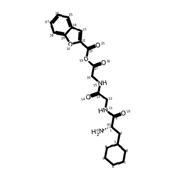 N[C@@H](CC1CCCCC1)C(=O)NCC(=O)NCC(=O)OC(=O)c1cc2ccccc2o1